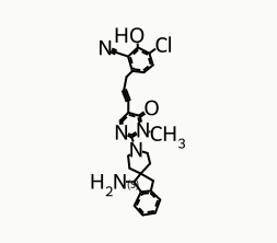 Cn1c(N2CCC3(CC2)Cc2ccccc2[C@H]3N)ncc(C#CCc2ccc(Cl)c(O)c2C#N)c1=O